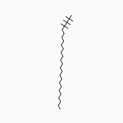 CCCCCCCCCCCCCCCCCCCCCCC(C)(C)C(C)(C)C(C)(C)C